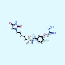 C[C@@H](NS(=O)(=O)CCCCCN1CC(=O)NC1=O)c1ccc(F)c(OCC(=N)N=N)c1